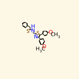 COc1ccc(-c2nc(CNC(=S)Cc3ccccc3)sc2-c2ccc(OC)cc2)cc1